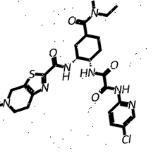 CCN(C)C(=O)C1CC[C@H](NC(=O)C(=O)Nc2ccc(Cl)cn2)[C@H](NC(=O)c2nc3c(s2)CN(C)CC3)C1